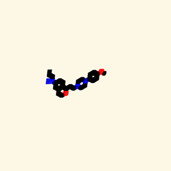 CCCNc1ccc2c(c1)CCOC2CCN1CCN(c2ccc(OC)cc2)CC1